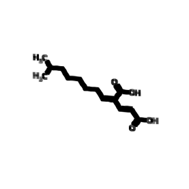 CC(C)CCCCCC=C(C=CC(=O)O)C(=O)O